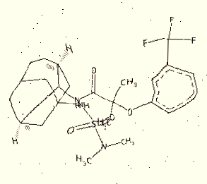 CN(C)S(=O)(=O)NC12CC3C[C@H](C1)C(NC(=O)C(C)(C)Oc1cccc(C(F)(F)F)c1)[C@@H](C3)C2